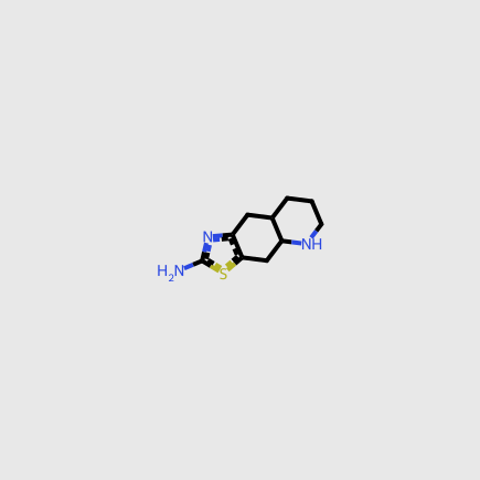 Nc1nc2c(s1)CC1NCCCC1C2